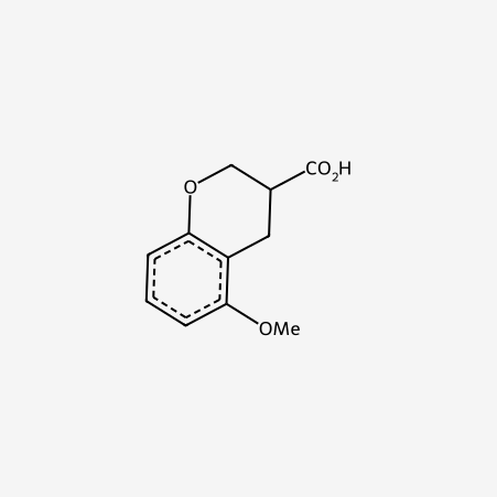 COc1cccc2c1CC(C(=O)O)CO2